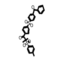 Cc1ccc(S(=O)(=O)C(C)(C)C(=O)c2ccc(S(=O)(=O)c3ccc(C(=O)c4ccccc4)cc3)cc2)cc1